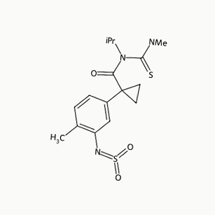 CNC(=S)N(C(=O)C1(c2ccc(C)c(N=S(=O)=O)c2)CC1)C(C)C